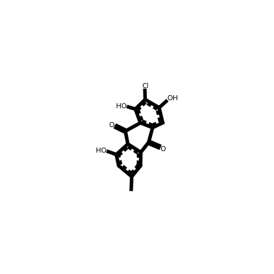 Cc1cc(O)c2c(c1)C(=O)c1cc(O)c(Cl)c(O)c1C2=O